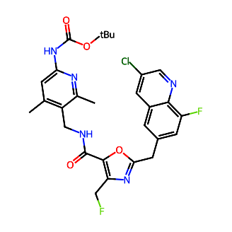 Cc1cc(NC(=O)OC(C)(C)C)nc(C)c1CNC(=O)c1oc(Cc2cc(F)c3ncc(Cl)cc3c2)nc1CF